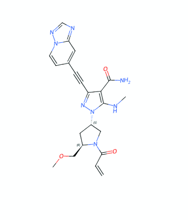 C=CC(=O)N1C[C@@H](n2nc(C#Cc3ccn4ncnc4c3)c(C(N)=O)c2NC)C[C@@H]1COC